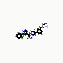 CCNCc1cccc(-c2ccn3c(-c4ccnc(-c5ccccc5F)c4)cnc3c2)c1